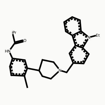 CCn1c2ccccc2c2cc(CN3CCC(c4cc(NC(=O)C(C)C)ccc4C)CC3)ccc21